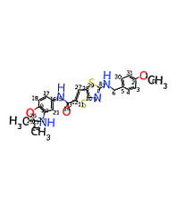 COc1ccc(CNc2nc3sc(C(=O)Nc4ccc5c(c4)NC(C)(C)O5)cc3s2)cc1